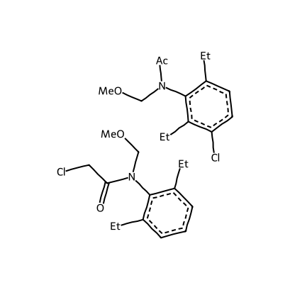 CCc1ccc(Cl)c(CC)c1N(COC)C(C)=O.CCc1cccc(CC)c1N(COC)C(=O)CCl